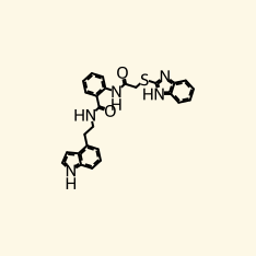 O=C(CSc1nc2ccccc2[nH]1)Nc1ccccc1C(=O)NCCc1cccc2[nH]ccc12